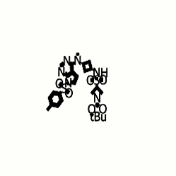 Cc1ccc(S(=O)(=O)n2ccc3c(N(C)[C@H]4C[C@@H](NS(=O)(=O)C5CN(C(=O)OC(C)(C)C)C5)C4)ncnc32)cc1